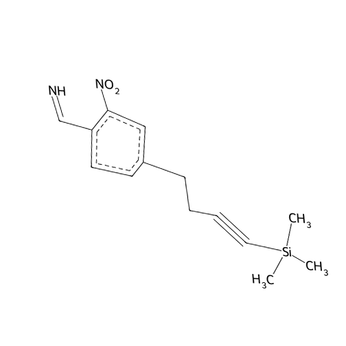 C[Si](C)(C)C#CCCc1ccc(C=N)c([N+](=O)[O-])c1